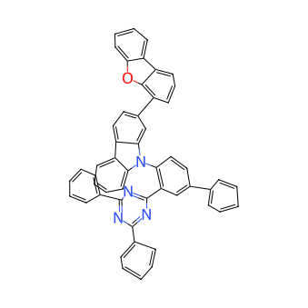 c1ccc(-c2ccc(-n3c4ccccc4c4ccc(-c5cccc6c5oc5ccccc56)cc43)c(-c3nc(-c4ccccc4)nc(-c4ccccc4)n3)c2)cc1